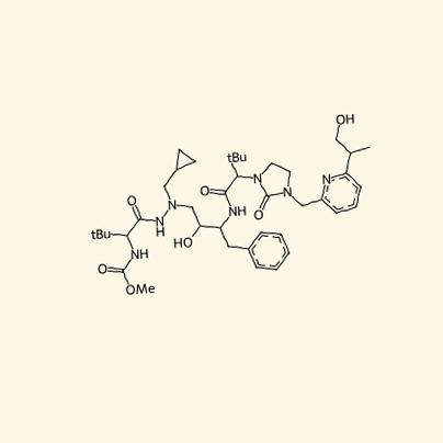 COC(=O)NC(C(=O)NN(CC1CC1)CC(O)C(Cc1ccccc1)NC(=O)C(N1CCN(Cc2cccc(C(C)CO)n2)C1=O)C(C)(C)C)C(C)(C)C